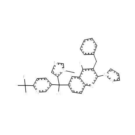 Cn1cncc1C(O)(c1ccc(C(F)(F)F)nc1)c1ccc2nc(-n3cccn3)c(Cc3ccccc3)c(Cl)c2c1